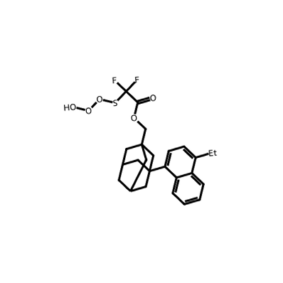 CCc1ccc(C23CC4CC(CC(COC(=O)C(F)(F)SOOO)(C4)C2)C3)c2ccccc12